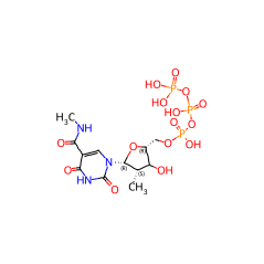 CNC(=O)c1cn([C@@H]2O[C@H](COP(=O)(O)OP(=O)(O)OP(=O)(O)O)C(O)[C@@H]2C)c(=O)[nH]c1=O